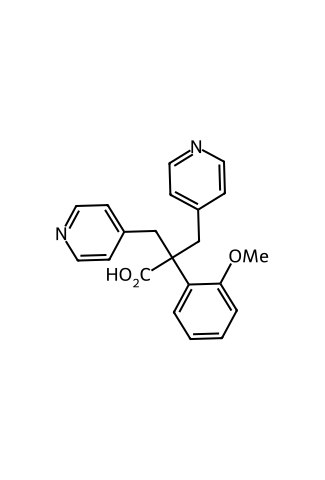 COc1ccccc1C(Cc1ccncc1)(Cc1ccncc1)C(=O)O